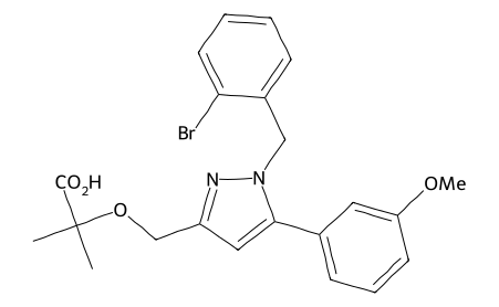 COc1cccc(-c2cc(COC(C)(C)C(=O)O)nn2Cc2ccccc2Br)c1